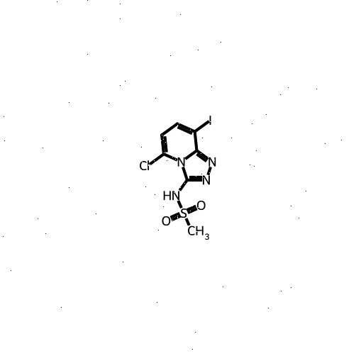 CS(=O)(=O)Nc1nnc2c(I)ccc(Cl)n12